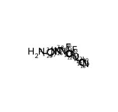 NCC1CCN(N2C=CN(c3ccc(OCc4ccncc4)c(F)c3F)C2)CC1